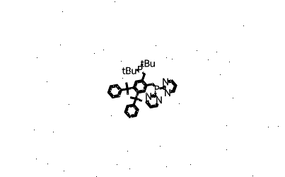 CC(C)(c1ccccc1)c1cc(CP(c2ncccn2)c2ncccn2)c(CP(C(C)(C)C)C(C)(C)C)cc1C(C)(C)c1ccccc1